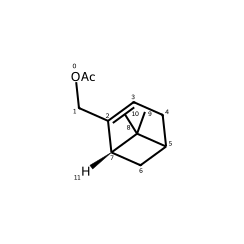 CC(=O)OCC1=CCC2C[C@H]1C2(C)C